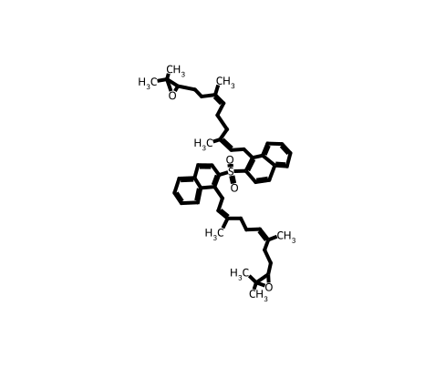 CC(=CCc1c(S(=O)(=O)c2ccc3ccccc3c2CC=C(C)CCC=C(C)CCC2OC2(C)C)ccc2ccccc12)CCC=C(C)CCC1OC1(C)C